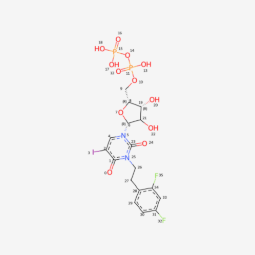 O=c1c(I)cn([C@@H]2O[C@H](COP(=O)(O)OP(=O)(O)O)[C@H](O)C2O)c(=O)n1CCc1ccc(F)cc1F